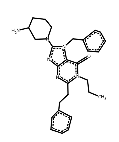 CCCn1c(CCc2ccccc2)nc2nc(N3CCCC(N)C3)n(Cc3ccccc3)c2c1=O